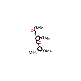 COC(=O)/C=C/c1cc(OC)c2oc(-c3cc(OC)cc(OC)c3)cc2c1